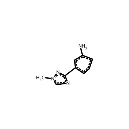 Cn1cnc(-c2cccc(N)c2)n1